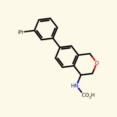 CC(C)c1cccc(-c2ccc3c(c2)COCC3NC(=O)O)c1